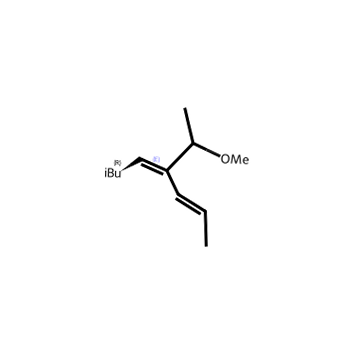 CC=C/C(=C\[C@H](C)CC)C(C)OC